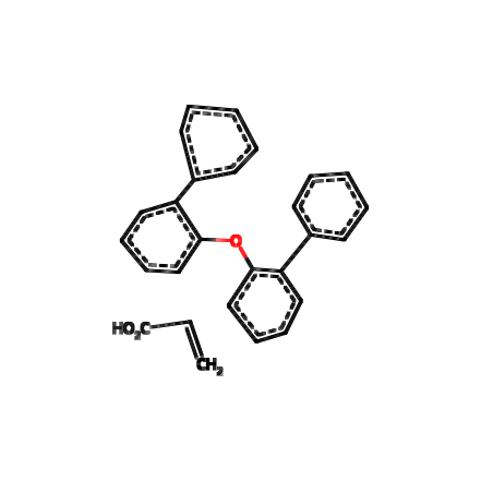 C=CC(=O)O.c1ccc(-c2ccccc2Oc2ccccc2-c2ccccc2)cc1